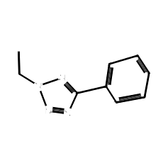 CCn1nnc(-c2[c]cccc2)n1